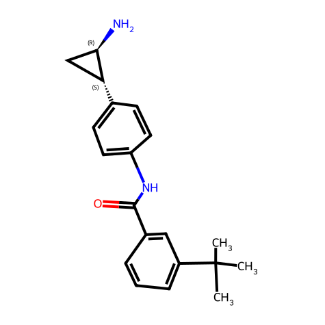 CC(C)(C)c1cccc(C(=O)Nc2ccc([C@@H]3C[C@H]3N)cc2)c1